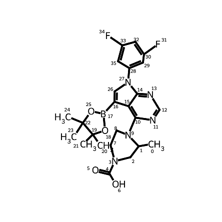 CC1CN(C(=O)O)CCN1c1ncnc2c1c(B1OC(C)(C)C(C)(C)O1)cn2-c1cc(F)cc(F)c1